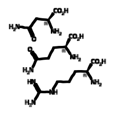 N=C(N)NCCC[C@H](N)C(=O)O.NC(=O)CC[C@H](N)C(=O)O.NC(=O)C[C@H](N)C(=O)O